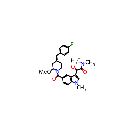 COC1CC(=Cc2ccc(F)cc2)CCN1C(=O)c1ccc2c(c1)c(C(=O)C(=O)N(C)C)cn2C